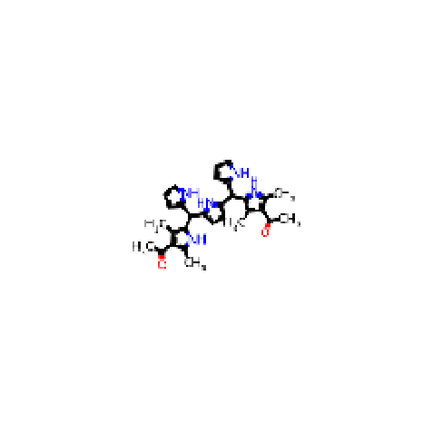 CC(=O)c1c(C)[nH]c(C(c2ccc[nH]2)c2ccc(C(c3ccc[nH]3)c3[nH]c(C)c(C(C)=O)c3C)[nH]2)c1C